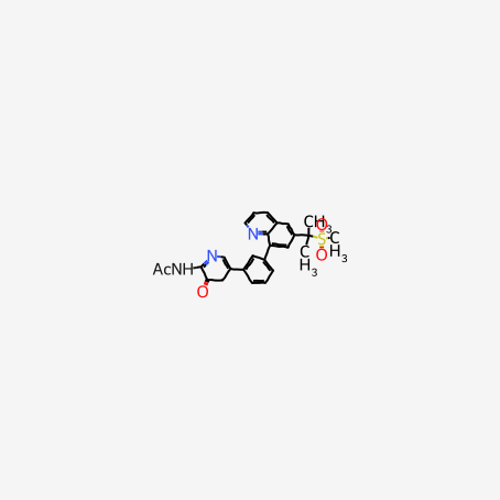 CC(=O)NC1=NC=C(c2cccc(-c3cc(C(C)(C)S(C)(=O)=O)cc4cccnc34)c2)CC1=O